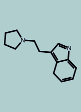 C1=CCC2=C(CCN3CCCC3)C=NC2=C1